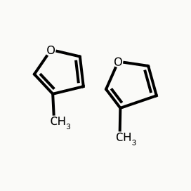 Cc1ccoc1.Cc1ccoc1